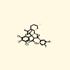 CC(C)C1CC[C@H](C)C[C@@H]1[C@H]1N=C(c2ccc(F)c(Br)c2)C(C(=O)O)C1(c1cc(Cl)c(Cl)c(Cl)c1)C(F)(F)F